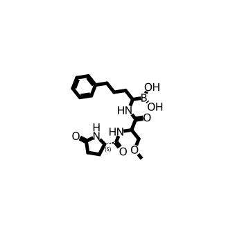 COCC(NC(=O)[C@@H]1CCC(=O)N1)C(=O)NC(CCCc1ccccc1)B(O)O